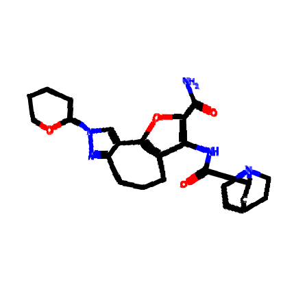 NC(=O)c1oc2c(c1NC(=O)C1CC3CCN1CC3)CCCc1nn(C3CCCCO3)cc1-2